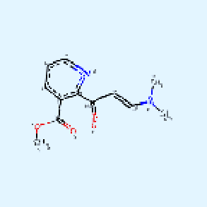 COC(=O)c1cccnc1C(=O)C=CN(C)C